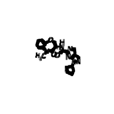 CN1C(=O)[C@@H](NC(=O)c2ncc3cnn(C4CCCC4)c3n2)COc2ccccc21